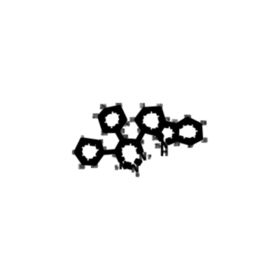 c1ccc(-c2nnnc(-c3cccc4c3[nH]c3ccccc34)c2-c2ccccc2)cc1